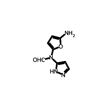 Nc1ccc(N(C=O)c2ccn[nH]2)o1